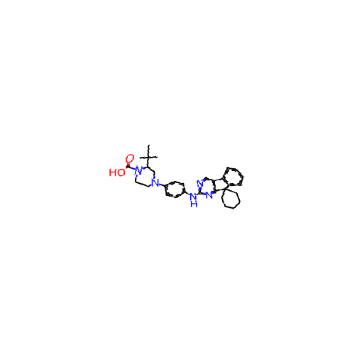 CC(C)(C)C1CN(c2ccc(Nc3ncc4c(n3)C3(CCCCC3)c3ccccc3-4)cc2)CCN1C(=O)O